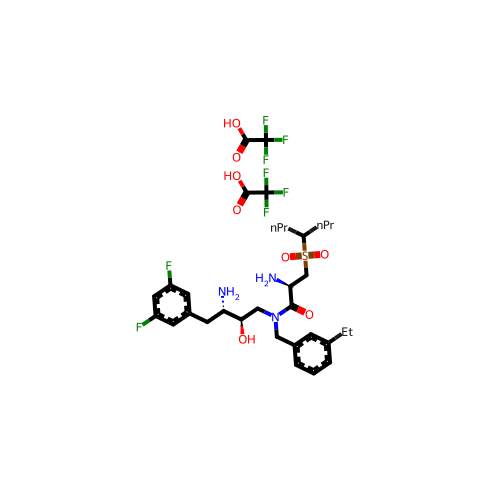 CCCC(CCC)S(=O)(=O)C[C@H](N)C(=O)N(Cc1cccc(CC)c1)C[C@@H](O)[C@@H](N)Cc1cc(F)cc(F)c1.O=C(O)C(F)(F)F.O=C(O)C(F)(F)F